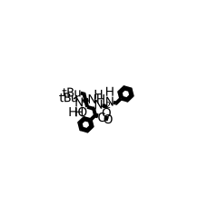 CC(C)(C)CC(N)(NC(C)(C)C)C(O)C(NC(=O)NCc1ccccc1)C(=C=O)c1ccccc1